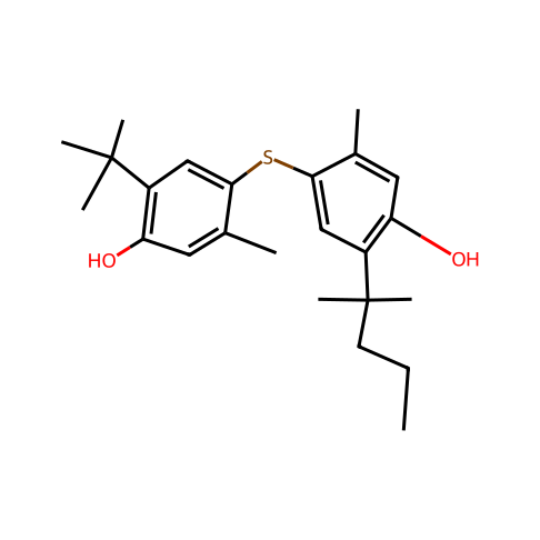 CCCC(C)(C)c1cc(Sc2cc(C(C)(C)C)c(O)cc2C)c(C)cc1O